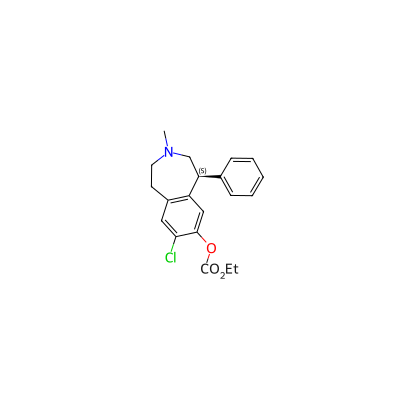 CCOC(=O)Oc1cc2c(cc1Cl)CCN(C)C[C@H]2c1ccccc1